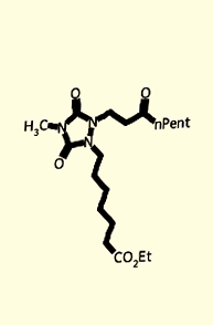 CCCCCC(=O)CCn1c(=O)n(C)c(=O)n1CCCCCCC(=O)OCC